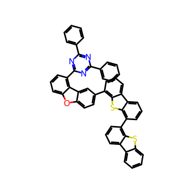 c1ccc(-c2nc(-c3ccccc3)nc(-c3cccc4oc5ccc(-c6cccc7c6sc6c(-c8cccc9c8sc8ccccc89)cccc67)cc5c34)n2)cc1